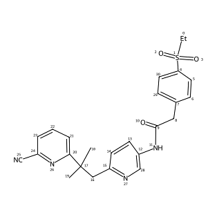 CCS(=O)(=O)c1ccc(CC(=O)Nc2ccc(CC(C)(C)c3cccc(C#N)n3)nc2)cc1